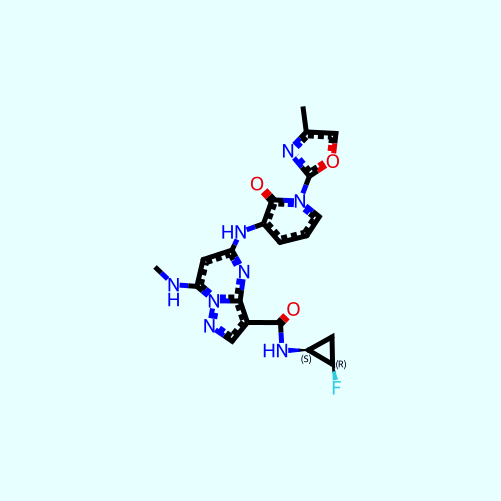 CNc1cc(Nc2cccn(-c3nc(C)co3)c2=O)nc2c(C(=O)N[C@H]3C[C@H]3F)cnn12